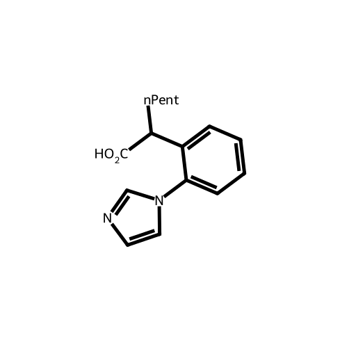 CCCCCC(C(=O)O)c1ccccc1-n1ccnc1